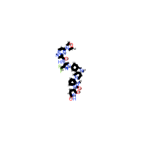 C[C@@H]1CN(c2ccn3ncc(C(=O)Nc4cn([C@H]5CC[C@H](CN(C)C6CCN(c7cccc8c7n(C)c(=O)n8C7CCC(=O)NC7=O)CC6)CC5)nc4C(F)F)c3n2)CCO1